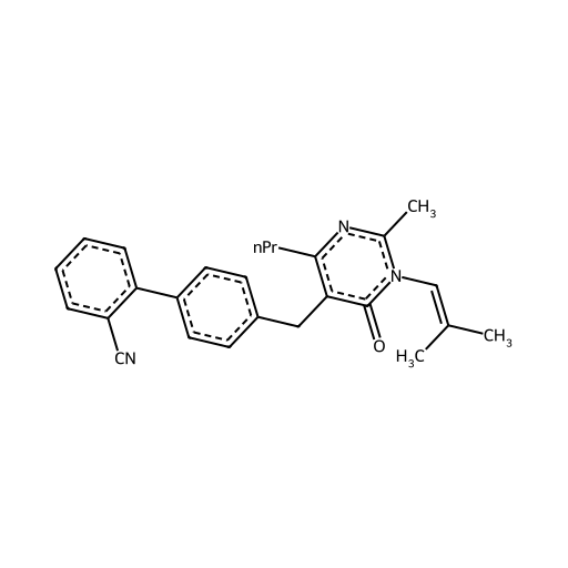 CCCc1nc(C)n(C=C(C)C)c(=O)c1Cc1ccc(-c2ccccc2C#N)cc1